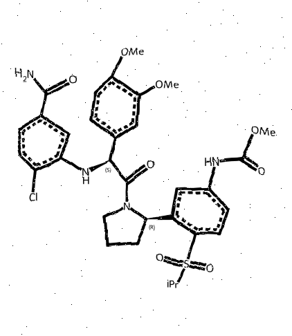 COC(=O)Nc1ccc(S(=O)(=O)C(C)C)c([C@H]2CCCN2C(=O)[C@@H](Nc2cc(C(N)=O)ccc2Cl)c2ccc(OC)c(OC)c2)c1